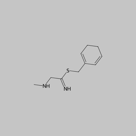 CNCC(=N)SCC1=CCCC=C1